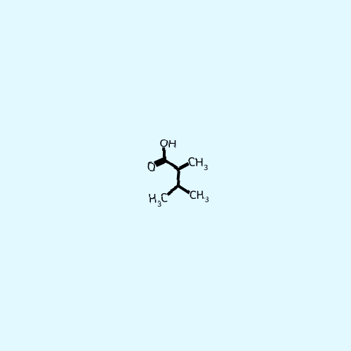 CC(C)C(C)C(=O)O